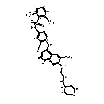 COc1cc2c(Oc3ccc(NS(=O)(=O)c4c(C)cccc4C)cc3F)ccnc2cc1OCCCN1CCOCC1